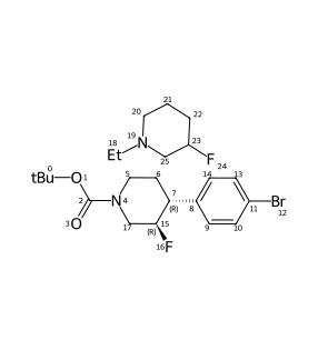 CC(C)(C)OC(=O)N1CC[C@H](c2ccc(Br)cc2)[C@@H](F)C1.CCN1CCCC(F)C1